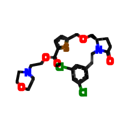 O=C(OCCN1CCOCC1)c1ccc(COC[C@H]2CCC(=O)N2CCc2cc(Cl)cc(Cl)c2)s1